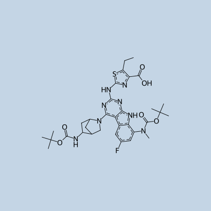 CCc1sc(Nc2nc(N3CC4CC3CC4NC(=O)OC(C)(C)C)c3c(n2)[nH]c2c(N(C)C(=O)OC(C)(C)C)cc(F)cc23)nc1C(=O)O